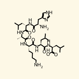 CC(C)C[C@H](NC(=O)[C@H](CC(C)C)NC(=O)[C@H](CCCCN)NC(=O)[C@H](C)NC(=O)[C@H](CC(C)C)NC(=O)[C@@H](N)Cc1c[nH]cn1)C(=O)O